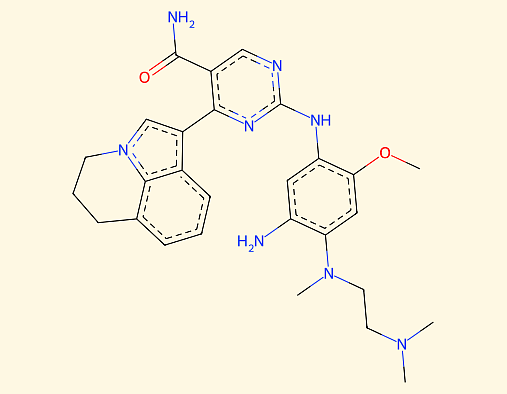 COc1cc(N(C)CCN(C)C)c(N)cc1Nc1ncc(C(N)=O)c(-c2cn3c4c(cccc24)CCC3)n1